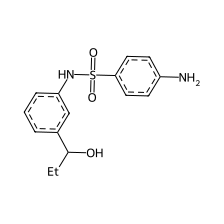 CCC(O)c1cccc(NS(=O)(=O)c2ccc(N)cc2)c1